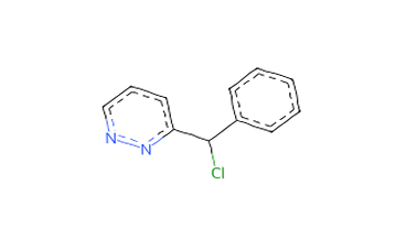 ClC(c1ccccc1)c1cccnn1